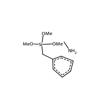 CN.CO[Si](Cc1ccccc1)(OC)OC